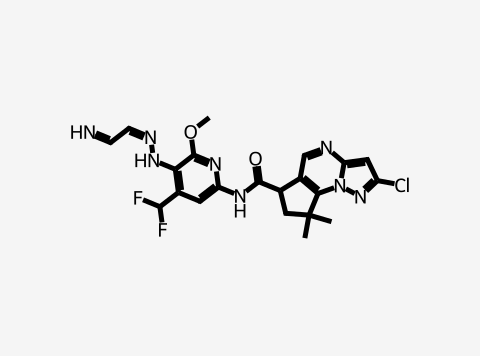 COc1nc(NC(=O)C2CC(C)(C)c3c2cnc2cc(Cl)nn32)cc(C(F)F)c1N/N=C\C=N